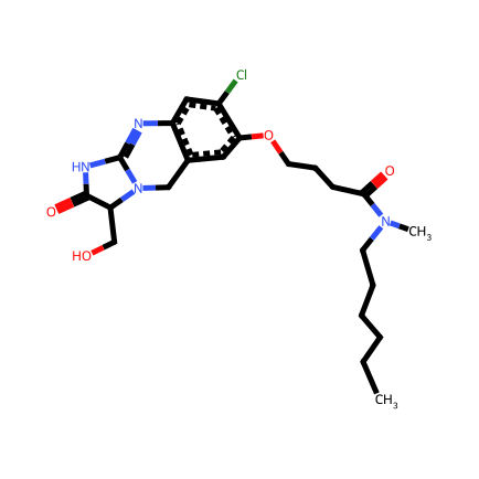 CCCCCCN(C)C(=O)CCCOc1cc2c(cc1Cl)N=C1NC(=O)C(CO)N1C2